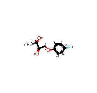 [CH2]CCCC(=O)C(=O)COc1ccc(F)cc1